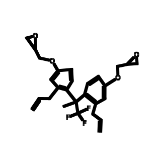 C=CCc1cc(OCC2CO2)ccc1C(C)(c1ccc(OCC2CO2)cc1CC=C)C(F)(F)F